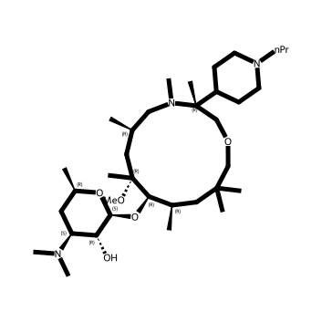 CCCN1CCC([C@]2(C)COCC(C)(C)C[C@@H](C)[C@@H](O[C@@H]3O[C@H](C)C[C@H](N(C)C)[C@H]3O)[C@](C)(OC)C[C@@H](C)CN2C)CC1